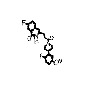 N#Cc1ccc(F)c(C2=CCN(C(=O)CCc3cc4ccc(F)cc4c(=O)[nH]3)CC2)c1